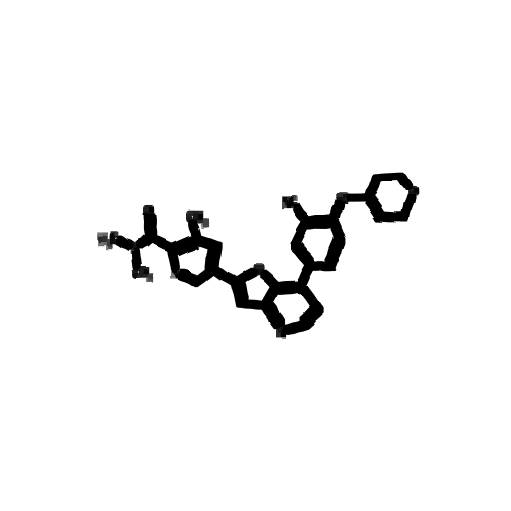 Cc1cc(-c2cc3nccc(-c4ccc(OC5CCOCC5)c(C#N)c4)c3o2)cnc1C(=O)N(C)C